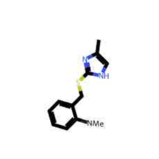 CNc1ccccc1CSc1nc(C)c[nH]1